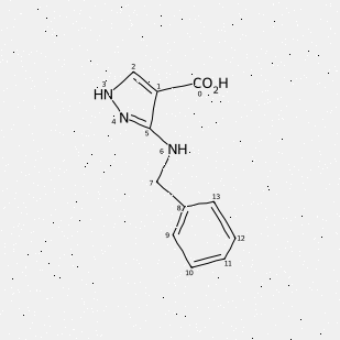 O=C(O)c1c[nH]nc1NCc1ccccc1